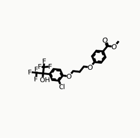 COC(=O)c1ccc(OCCCOc2ccc(C(O)(C(F)(F)F)C(F)(F)F)cc2Cl)cc1